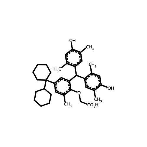 Cc1cc(C(c2cc(C)c(O)cc2C)c2cc(C3(C4CCCCC4)CCCCC3)cc(C)c2OCC(=O)O)c(C)cc1O